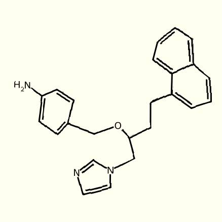 Nc1ccc(COC(CCc2cccc3ccccc23)Cn2ccnc2)cc1